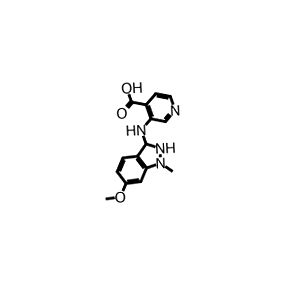 COc1ccc2c(c1)N(C)NC2Nc1cnccc1C(=O)O